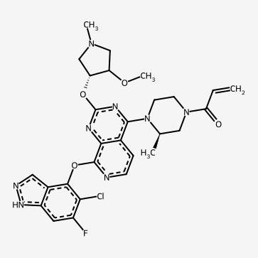 C=CC(=O)N1CCN(c2nc(O[C@@H]3CN(C)CC3OC)nc3c(Oc4c(Cl)c(F)cc5[nH]ncc45)nccc23)[C@H](C)C1